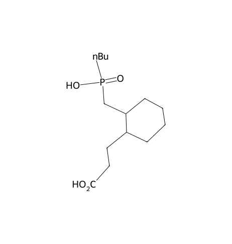 CCCCP(=O)(O)CC1CCCCC1CCC(=O)O